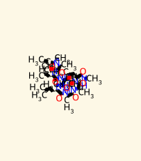 CNC(=O)[C@H](CC(C)C)N(C)C(=O)[C@H](C)NC(=O)[C@@H](C)NC(=O)[C@H](CCC(C)C)N(C)C(=O)[C@H](NC(=O)[C@H](CC(C)C)N(C)C(=O)[C@@H](C)N(C)C(=O)CC(C)C)C(C)C